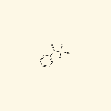 CCCCC(Cl)(Cl)C(=O)c1ccccc1